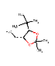 CC[C@H]1OC(C)(C)O[C@@H]1C(C)(C)C